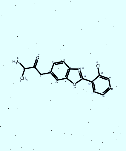 CC(C)C(=O)Cc1ccc2nc(-c3ccccc3Cl)oc2c1